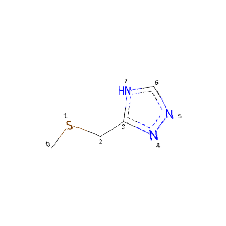 CSCc1nnc[nH]1